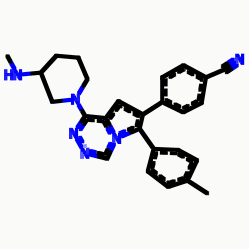 CNC1CCCN(c2nncn3c(-c4ccc(C)cc4)c(-c4ccc(C#N)cc4)cc23)C1